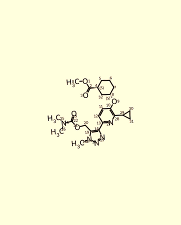 COC(=O)[C@H]1CCC[C@H](Oc2ccc(-c3nnn(C)c3COC(=O)N(C)C)nc2C2CC2)C1